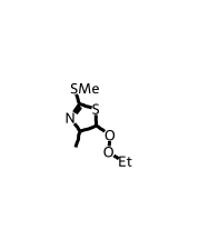 CCOOC1SC(SC)=NC1C